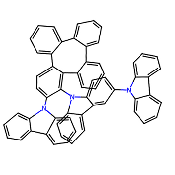 c1ccc2c(c1)-c1ccccc1-c1ccc(-n3c4ccccc4c4ccccc43)c(-n3c4ccccc4c4cc(-n5c6ccccc6c6ccccc65)ccc43)c1-c1ccccc1-2